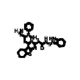 N/N=C(/Sc1nc(CC(=O)NSn2[nH]c3ccccc32)nc2sc3c(c12)CCCC3)N(N)c1ccccc1